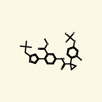 COC(=O)c1cc(NC(=O)C2(c3ccc(OC(F)(F)F)cc3F)CC2)ccc1-c1cnn(CC(C)(C)C)c1